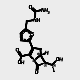 C[C@@H](O)[C@H]1C(=O)N2C(C(=O)O)=C(c3ccc(CNC(N)=O)s3)C[C@H]12